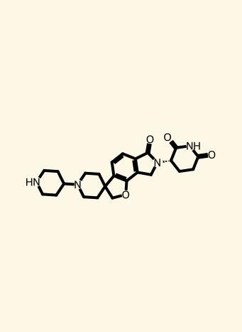 O=C1CC[C@H](N2Cc3c(ccc4c3OCC43CCN(C4CCNCC4)CC3)C2=O)C(=O)N1